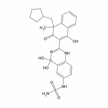 CC1(CC2CCCC2)C(=O)C(C2=NS(O)(O)c3cc(NS(N)(=O)=O)ccc3N2)=C(O)c2ccccc21